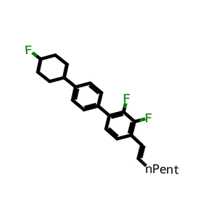 CCCCCC=Cc1ccc(-c2ccc(C3CCC(F)CC3)cc2)c(F)c1F